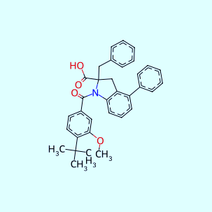 COc1cc(C(=O)N2c3cccc(-c4ccccc4)c3CC2(Cc2ccccc2)C(=O)O)ccc1C(C)(C)C